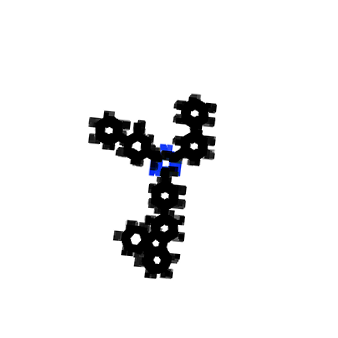 CC1C=C(c2nc(-c3ccc(-c4ccc5c(c4)C4(CCCCC4)c4ccccc4-5)cc3)nc(-c3cccc(-c4ccccc4)c3)n2)C=CC1c1ccccc1